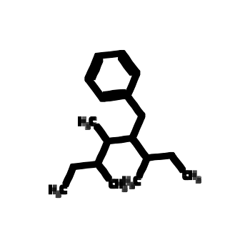 CCC(C)[C](Cc1ccccc1)C(C)C(C)CC